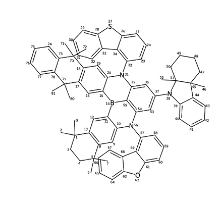 CC1(C)CCC(C)(C)c2cc3c(cc21)B1c2cc4c(cc2N(c2cccc5sc6ccccc6c25)c2cc(N5c6ccccc6C6(C)CCCCC56C)cc(c21)N3c1cccc2oc3ccccc3c12)C(C)(C)c1ccccc1C4(C)C